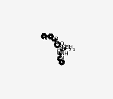 CCC[C@H](NC(=O)c1ccc2ccccc2n1)C(=O)N(C)C1CCCN(C(=O)Cc2cccc(-c3ccccn3)c2)CC1=O